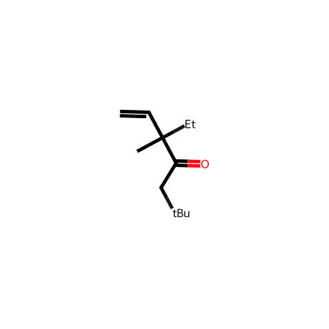 C=CC(C)(CC)C(=O)CC(C)(C)C